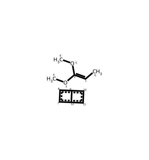 CC=C(OC)OC.c1cc2ccc1-2